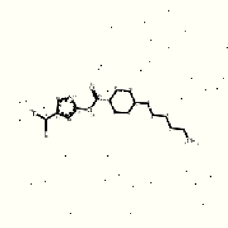 CCCCCC[C@H]1CC[C@H](C(=O)Oc2cc(C(F)F)cs2)CC1